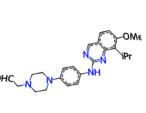 COc1ccc2cnc(Nc3ccc(N4CCN(CC=O)CC4)cc3)nc2c1C(C)C